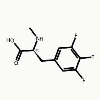 CN[C@@H](Cc1cc(F)c(F)c(F)c1)C(=O)O